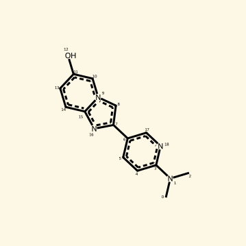 CN(C)c1ccc(-c2cn3cc(O)ccc3n2)cn1